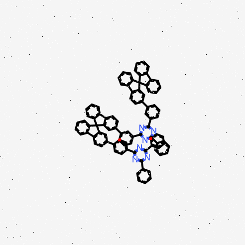 c1ccc(-c2nc(-c3ccccc3)nc(-c3ccc(-c4ccc5c(c4)C4(c6ccccc6-5)c5ccccc5-c5ccc(-c6cccc(-c7nc(-c8ccccc8)nc(-c8cccc(-c9ccc%10c(c9)C9(c%11ccccc%11-c%11ccccc%119)c9ccccc9-%10)c8)n7)c6)cc54)cc3)n2)cc1